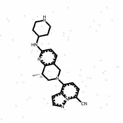 C[C@H]1CN(c2ccc(C#N)n3nccc23)Cc2ccc(NC3CCNCC3)nc21